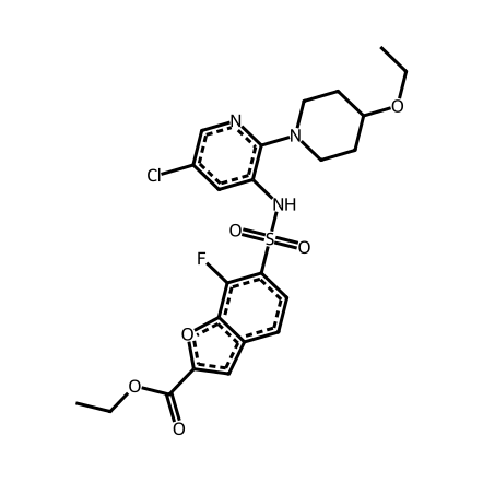 CCOC(=O)c1cc2ccc(S(=O)(=O)Nc3cc(Cl)cnc3N3CCC(OCC)CC3)c(F)c2o1